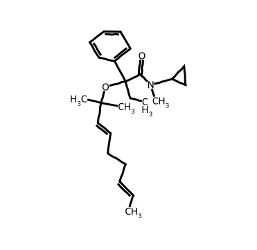 CC=CCCC=CC(C)(C)OC(CC)(C(=O)N(C)C1CC1)c1ccccc1